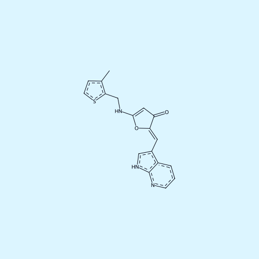 Cc1ccsc1CNC1=CC(=O)C(=Cc2c[nH]c3ncccc23)O1